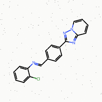 Clc1ccccc1N=Cc1ccc(-c2nc3ccccn3n2)cc1